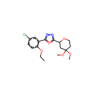 CCOc1ccc(Cl)cc1-c1nnc(C2CC(OC)(OC)CCO2)o1